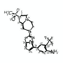 CS(=O)(=O)N1CCN2CCN(c3nn4c(-c5cnc(N)c(C(F)(F)F)c5)cnc4s3)CC2C1